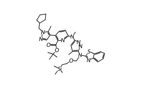 Cc1cc(N(C)c2ccc(-c3cnn(CC4CCCC4)c3C)c(C(=O)OC(C)(C)C)n2)nnc1N(COCC[Si](C)(C)C)c1nc2ccccc2s1